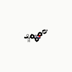 C=CC(=O)Nc1cccc(C2=CC=CC(=C/N=C)/C2=N\c2ccc(N3CCN(C)CC3)cc2)c1